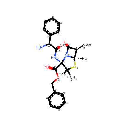 CS[C@@H]1C(=O)N2[C@@H]1SC(C)(C)[C@]2(NC(=O)C(N)c1ccccc1)C(=O)OCc1ccccc1